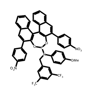 COc1ccc(N(Cc2cc(C(F)(F)F)cc(C(F)(F)F)c2)p2oc3c(-c4ccc([N+](=O)[O-])cc4)cc4ccccc4c3c3c(o2)c(-c2ccc([N+](=O)[O-])cc2)cc2ccccc23)cc1